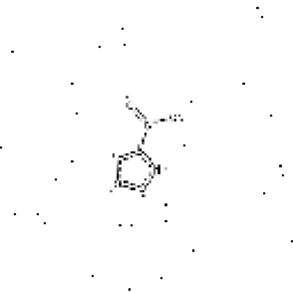 O=[N+]([O-])c1[c]ocn1